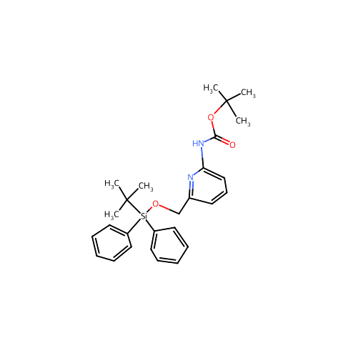 CC(C)(C)OC(=O)Nc1cccc(CO[Si](c2ccccc2)(c2ccccc2)C(C)(C)C)n1